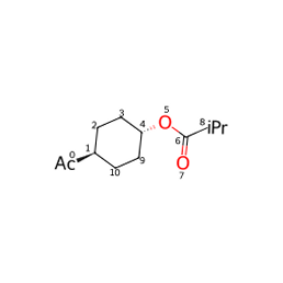 CC(=O)[C@H]1CC[C@H](OC(=O)C(C)C)CC1